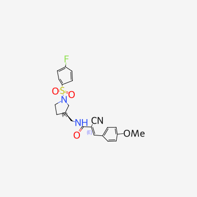 COc1ccc(/C=C(\C#N)C(=O)NC[C@H]2CCN(S(=O)(=O)c3ccc(F)cc3)C2)cc1